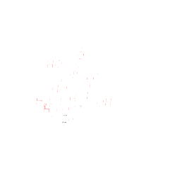 O.O.O=P(O)(O)OP(O)O.[Zn]